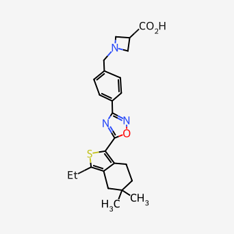 CCc1sc(-c2nc(-c3ccc(CN4CC(C(=O)O)C4)cc3)no2)c2c1CC(C)(C)CC2